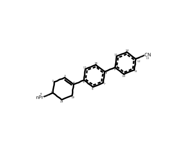 CCCC1CC=C(c2ccc(-c3ccc(C#N)cc3)cc2)CC1